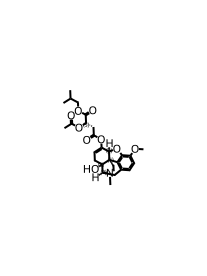 COc1ccc2c3c1O[C@H]1C(OC(=O)C[C@H](OC(C)=O)C(=O)OCC(C)C)=CC[C@@]4(O)[C@@H](C2)N(C)CC[C@]314